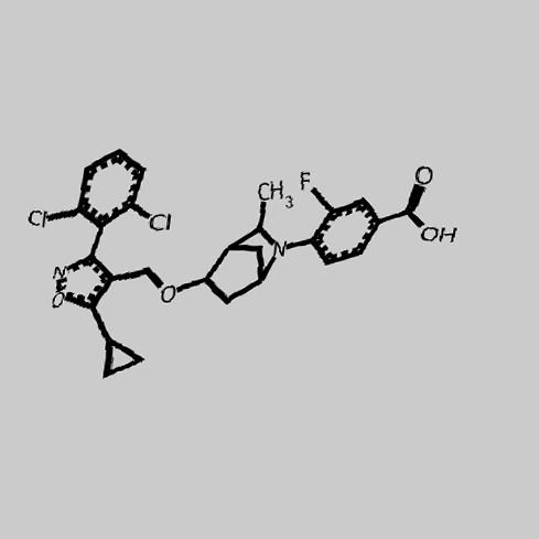 CC1C2CC(CC2OCc2c(-c3c(Cl)cccc3Cl)noc2C2CC2)N1c1ccc(C(=O)O)cc1F